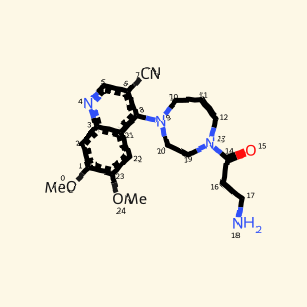 COc1cc2ncc(C#N)c(N3CCCN(C(=O)CCN)CC3)c2cc1OC